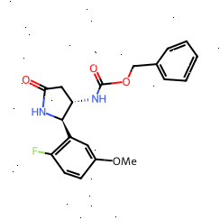 COc1ccc(F)c([C@H]2NC(=O)C[C@@H]2NC(=O)OCc2ccccc2)c1